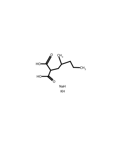 CCCC(C)CC(C(=O)O)C(=O)O.[KH].[NaH]